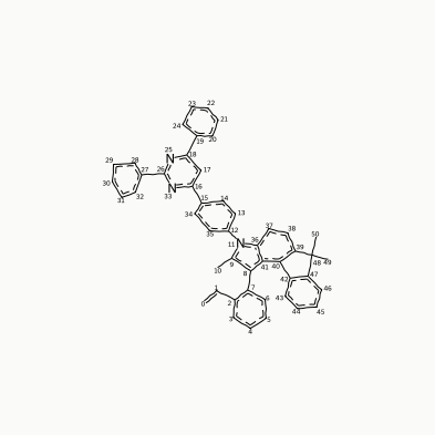 C=Cc1ccccc1-c1c(C)n(-c2ccc(-c3cc(-c4ccccc4)nc(-c4ccccc4)n3)cc2)c2ccc3c(c12)-c1ccccc1C3(C)C